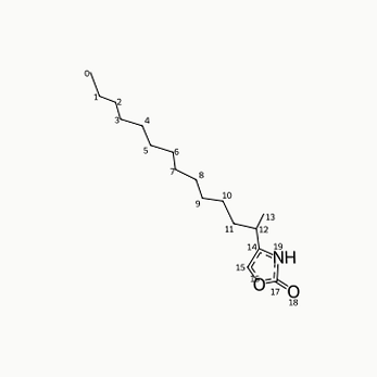 CCCCCCCCCCCCC(C)c1coc(=O)[nH]1